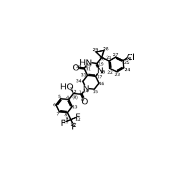 O=C([C@H](O)c1cccc(C(F)(F)F)c1)N1CCc2nc(C3(c4cccc(Cl)c4)CC3)[nH]c(=O)c2C1